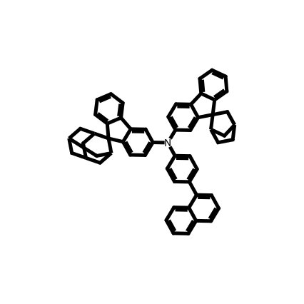 c1ccc2c(c1)-c1ccc(N(c3ccc(-c4cccc5ccccc45)cc3)c3ccc4c(c3)-c3ccccc3C43C4CC5CC(C4)CC3C5)cc1C21CC2CCC1C2